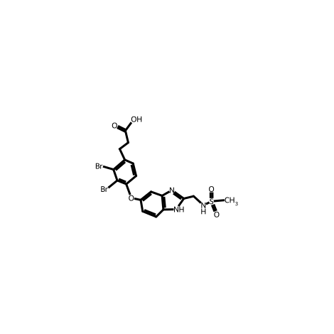 CS(=O)(=O)NCc1nc2cc(Oc3ccc(CCC(=O)O)c(Br)c3Br)ccc2[nH]1